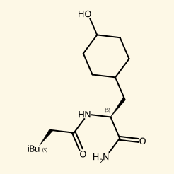 CC[C@H](C)CC(=O)N[C@@H](CC1CCC(O)CC1)C(N)=O